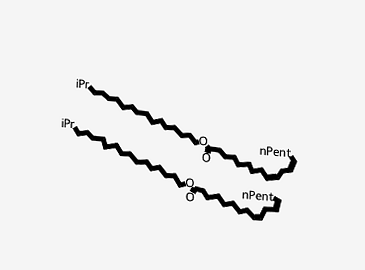 CCCCC/C=C\C/C=C\CCCCCCCC(=O)OCCCCCCCCCCCCCCCC(C)C.CCCCC/C=C\C/C=C\CCCCCCCC(=O)OCCCCCCCCCCCCCCCC(C)C